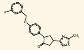 Cc1nc(C2CC(=O)N(c3ccc(OCc4cccc(F)c4)cc3)C2)cs1